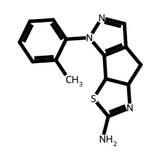 Cc1ccccc1-n1ncc2c1C1SC(N)=NC1C2